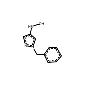 OBc1cnn(Cc2ccccc2)c1